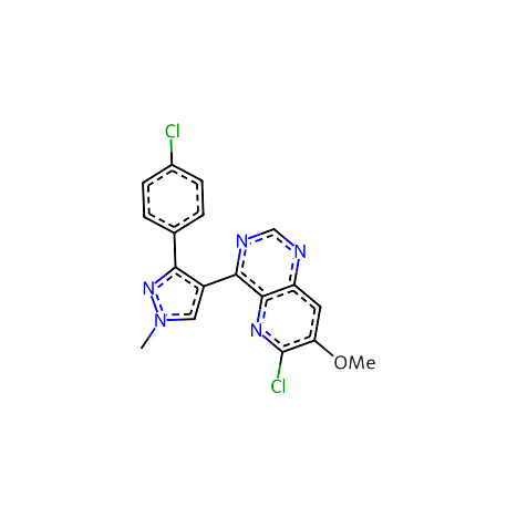 COc1cc2ncnc(-c3cn(C)nc3-c3ccc(Cl)cc3)c2nc1Cl